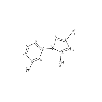 CC(C)c1cn(-c2cccc(Cl)c2)c(O)n1